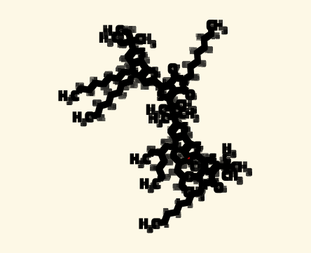 CCCCCCCCN1C(=O)c2c(-c3cc4c(s3)-c3sc(C(C)(C)C(C)(C)c5sc(-c6cc7c(s6)-c6sc(C(C)(CC)CC)cc6[Si]7(CCCCCCCC)CCCCCCCC)c6c5C(=O)N(CCCCCCCC)C6=O)cc3[Si]4(CC(CC)CCCC)CC(CC)CCCC)sc(C(C)(C)C)c2C1=O